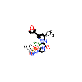 CS(=O)(=O)NC1CCN(C(=O)c2nc3c(C(F)(F)F)cc(-c4ccoc4)cn3c2Cl)C1